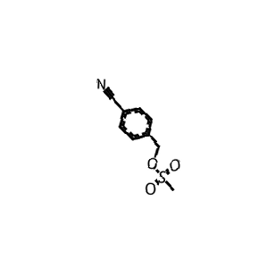 CS(=O)(=O)OCc1ccc(C#N)cc1